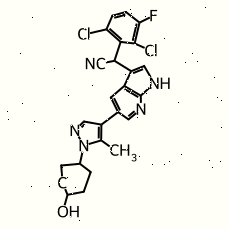 Cc1c(-c2cnc3[nH]cc(C(C#N)c4c(Cl)ccc(F)c4Cl)c3c2)cnn1C1CCC(O)CC1